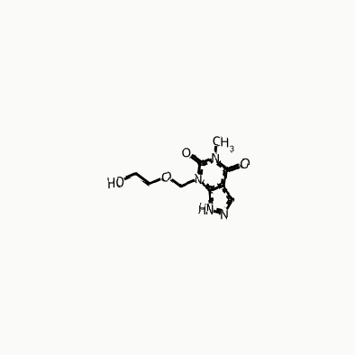 Cn1c(=O)c2cn[nH]c2n(COCCO)c1=O